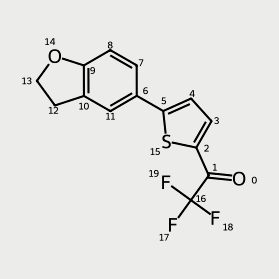 O=C(c1ccc(-c2ccc3c(c2)CCO3)s1)C(F)(F)F